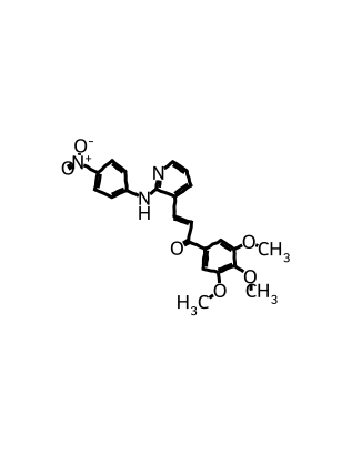 COc1cc(C(=O)C=Cc2cccnc2Nc2ccc([N+](=O)[O-])cc2)cc(OC)c1OC